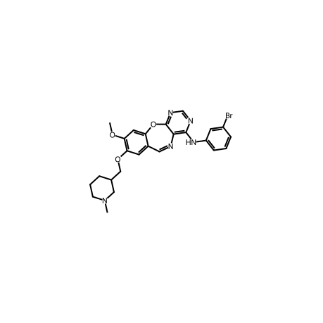 COc1cc2c(cc1OCC1CCCN(C)C1)C=Nc1c(Nc3cccc(Br)c3)ncnc1O2